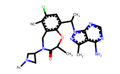 CC(=O)N1CC(N2Cc3c(C#N)c(Cl)cc(C(C)n4nc(C)c5c(N)ncnc54)c3OC(C)C2=O)C1